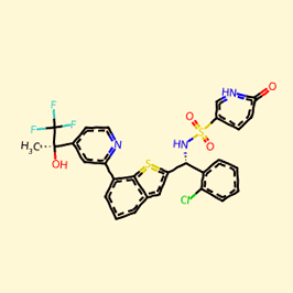 C[C@@](O)(c1ccnc(-c2cccc3cc([C@H](NS(=O)(=O)c4ccc(=O)[nH]c4)c4ccccc4Cl)sc23)c1)C(F)(F)F